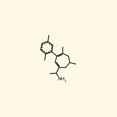 CC1=C(c2cc(C)ccc2C)C=C(C(C)N)CC(C)C1